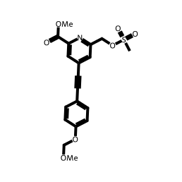 COCOc1ccc(C#Cc2cc(COS(C)(=O)=O)nc(C(=O)OC)c2)cc1